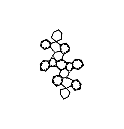 c1ccc2c(c1)B1c3c(cccc3C23CCCCC3)-c2c3c4ccccc4n4c3c(c3c5ccccc5n1c23)-c1cccc2c1B4c1ccccc1C21CCCCC1